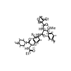 CCC(=O)N[C@@H](C(=O)N1CCN(C)CC1)[C@@H](C)c1ccc(NC(=O)C(NC(=O)c2nonc2CC)C(OC)c2ccc(F)cc2)c(F)c1